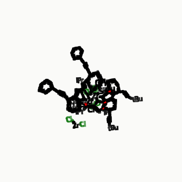 CC(C)CC1=Cc2c(C#Cc3ccccc3)cccc2[CH]1[Zr]([Cl])([Cl])([CH]1C(CC(C)C)=Cc2c(C#Cc3ccccc3)cccc21)([SiH](C)C)[Zr]([Cl])([Cl])([CH]1C(CC(C)C)=Cc2c(C#CC(C)(C)C)cccc21)([CH]1C(CC(C)C)=Cc2c(C#CC(C)(C)C)cccc21)[SiH](C)C.[Cl][Zr][Cl]